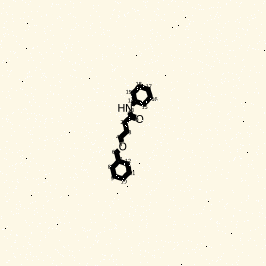 O=C(CCCOCC1CCCCC1)NC1CCCCC1